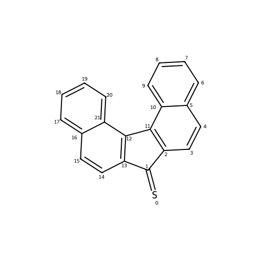 S=C1c2ccc3ccccc3c2-c2c1ccc1ccccc21